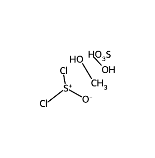 CO.O=S(=O)(O)O.[O-][S+](Cl)Cl